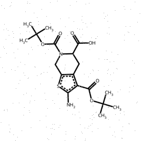 CC(C)(C)OC(=O)c1c(N)sc2c1CC(C(=O)O)N(C(=O)OC(C)(C)C)C2